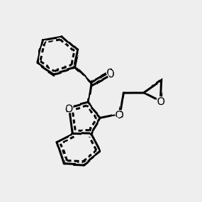 O=C(c1ccccc1)c1oc2ccccc2c1OCC1CO1